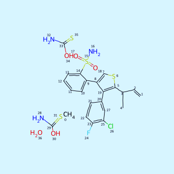 C.C=CC(C)c1scc(-c2ccccc2S(N)(=O)=O)c1-c1ccc(F)c(Cl)c1.NC(O)=S.NC(O)=S.O